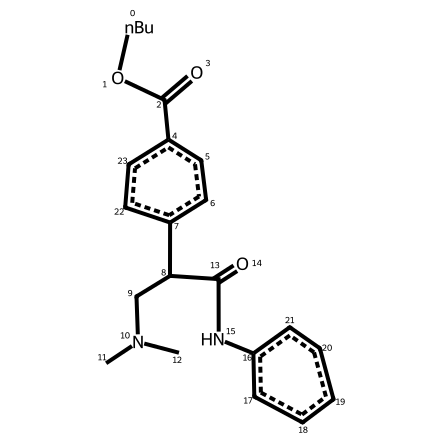 CCCCOC(=O)c1ccc(C(CN(C)C)C(=O)Nc2ccccc2)cc1